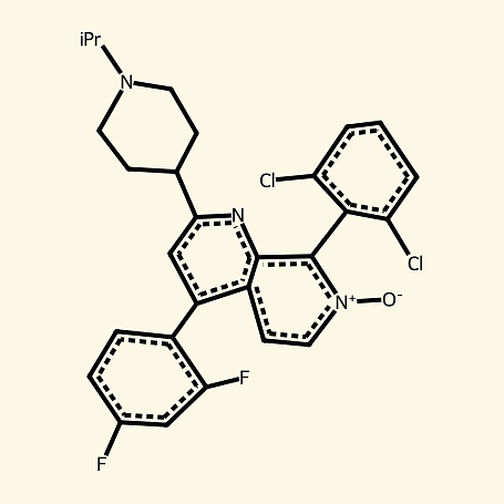 CC(C)N1CCC(c2cc(-c3ccc(F)cc3F)c3cc[n+]([O-])c(-c4c(Cl)cccc4Cl)c3n2)CC1